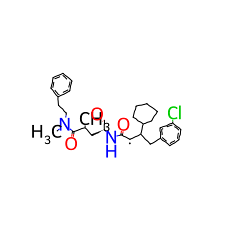 CC(C[C@@H](C=O)NC(=O)[CH]C(Cc1cccc(Cl)c1)C1CCCCC1)C(=O)N(C)CCc1ccccc1